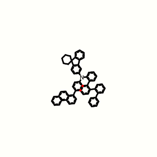 c1ccc(-c2ccccc2-c2ccccc2-c2ccccc2N(c2ccc(-c3cccc4c3ccc3ccccc34)cc2)c2ccc3c(c2)-c2ccccc2C32CCCCC2)cc1